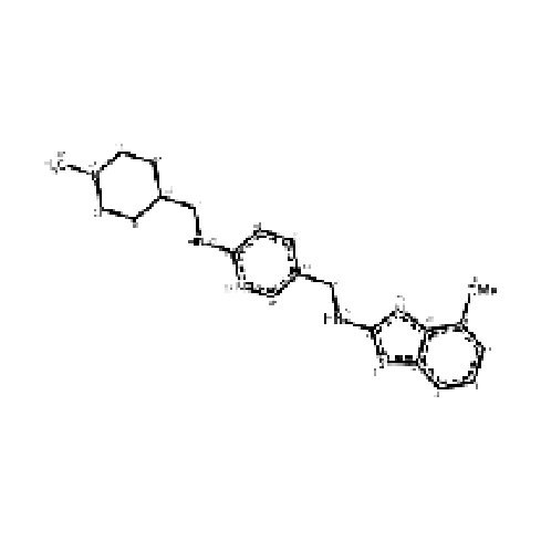 COc1cccc2sc(NCc3ccc(NCC4CCN(C)CC4)nc3)nc12